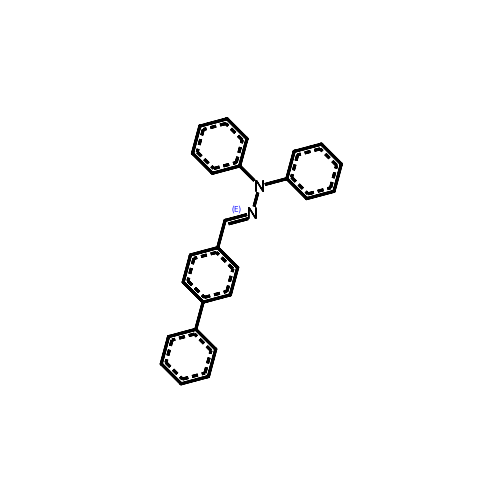 C(=N\N(c1ccccc1)c1ccccc1)/c1ccc(-c2ccccc2)cc1